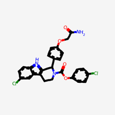 NC(=O)COc1ccc(C2c3[nH]c4ccc(Cl)cc4c3CCN2C(=O)Oc2ccc(Cl)cc2)cc1